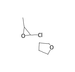 C1CCOC1.CC1OC1Cl